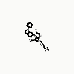 C[Si](C)(C)CCOCn1cc(C#N)c2c1ncc(=O)n2-c1ccc2ccn(-c3ccccc3)c2c1